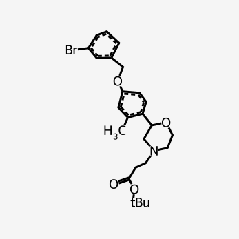 Cc1cc(OCc2cccc(Br)c2)ccc1C1CN(CCC(=O)OC(C)(C)C)CCO1